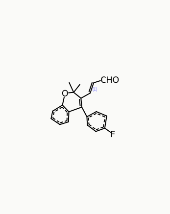 CC1(C)Oc2ccccc2C(c2ccc(F)cc2)=C1/C=C/C=O